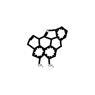 Cc1cc2c3c4c5c(cc(C)c14)Cc1cccc4c1C5C(=N4)C3C=CC2